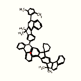 Cc1ccc(C)c(-c2cc3c(c4ccccc24)-c2ccc(N(c4ccc5c(c4)C4(CCCCC4)c4cc6c(cc4-5)C(C)(C)c4ccc5ccccc5c4-6)c4ccccc4-c4ccccc4)cc2C3(C)C)c1